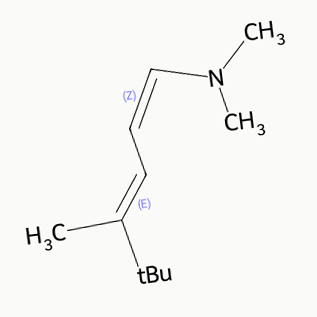 C/C(=C\C=C/N(C)C)C(C)(C)C